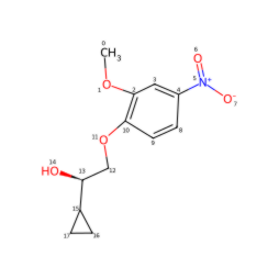 COc1cc([N+](=O)[O-])ccc1OC[C@H](O)C1CC1